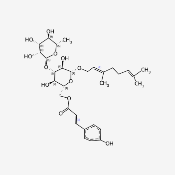 CC(C)=CCC/C(C)=C/CO[C@@H]1O[C@H](COC(=O)/C=C/c2ccc(O)cc2)[C@@H](O)[C@H](O[C@@H]2O[C@@H](C)[C@H](O)[C@@H](O)[C@H]2O)[C@H]1O